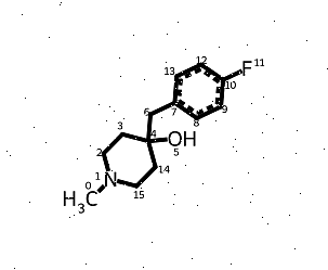 CN1CCC(O)(Cc2ccc(F)cc2)CC1